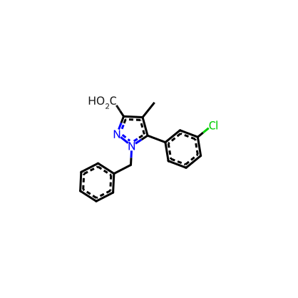 Cc1c(C(=O)O)nn(Cc2ccccc2)c1-c1cccc(Cl)c1